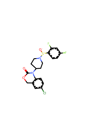 O=C1OCc2cc(Cl)ccc2N1C1CCN([S+]([O-])c2ccc(F)cc2F)CC1